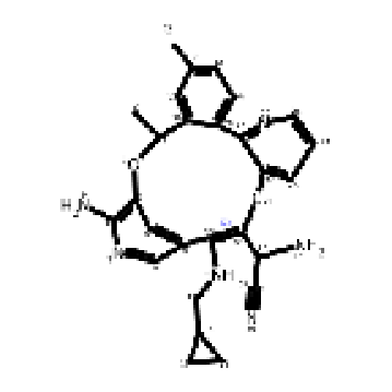 CC1Oc2cc(cnc2N)/C(NCC2CC2)=C(/C(N)C#N)Cc2cccnc2-c2ccc(F)cc21